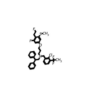 CSc1cc(OCCCN(Cc2cccc(C(C)(F)F)c2Cl)CC(C2=CCCC=C2)c2ccccc2)cc(F)c1CCF